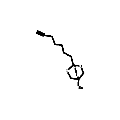 C#CCCCCCC12OCC(C(C)(C)C)(CO1)CO2